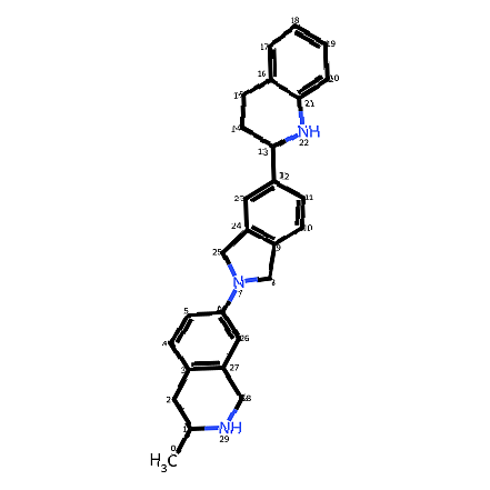 CC1Cc2ccc(N3Cc4ccc(C5CCc6ccccc6N5)cc4C3)cc2CN1